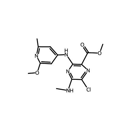 CNc1nc(Nc2cc(C)nc(OC)c2)c(C(=O)OC)nc1Cl